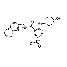 O=C(NCc1ccc2ccccc2n1)c1cc([N+](=O)[O-])ccc1NC1CCC(O)CC1